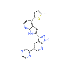 Cc1ccc(-c2ccnc3[nH]c(-c4n[nH]c5ncc(-c6cnccn6)cc45)cc23)s1